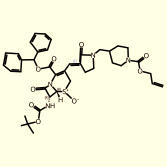 C=CCOC(=O)N1CCC(CN2CC/C(=C\C3=C(C(=O)OC(c4ccccc4)c4ccccc4)N4C(=O)[C@@H](NC(=O)OC(C)(C)C)[C@H]4[S+]([O-])C3)C2=O)CC1